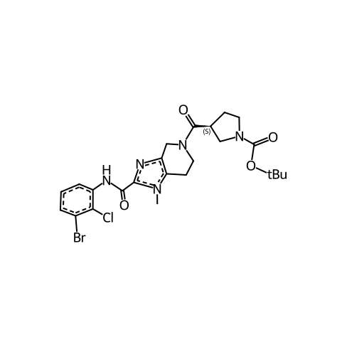 Cn1c(C(=O)Nc2cccc(Br)c2Cl)nc2c1CCN(C(=O)[C@H]1CCN(C(=O)OC(C)(C)C)C1)C2